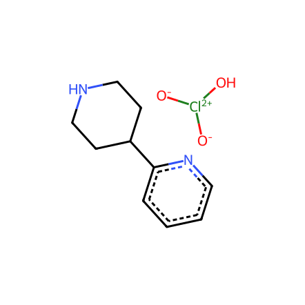 [O-][Cl+2]([O-])O.c1ccc(C2CCNCC2)nc1